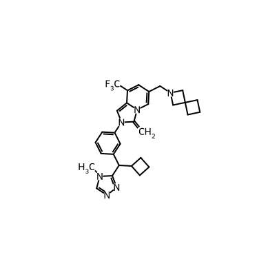 C=C1N2C=C(CN3CC4(CCC4)C3)C=C(C(F)(F)F)C2=CN1c1cccc(C(c2nncn2C)C2CCC2)c1